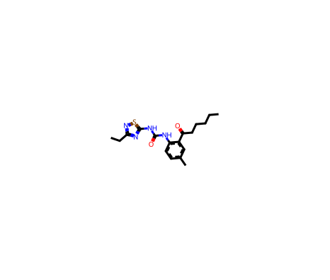 CCCCCC(=O)c1cc(C)ccc1NC(=O)Nc1nc(CC)ns1